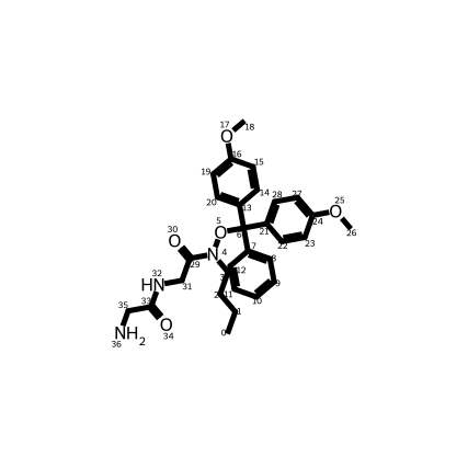 CCCCN(OC(c1ccccc1)(c1ccc(OC)cc1)c1ccc(OC)cc1)C(=O)CNC(=O)CN